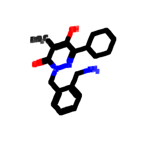 CCOC(=O)c1c(O)c(C2CCCCC2)nn(Cc2ccccc2CN)c1=O